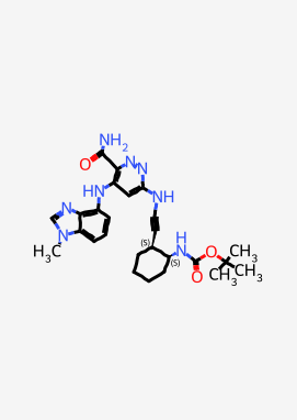 Cn1cnc2c(Nc3cc(NC#C[C@@H]4CCCC[C@@H]4NC(=O)OC(C)(C)C)nnc3C(N)=O)cccc21